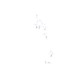 C[C@@H]1CN(c2ncc(C#N)c(N)n2)C[C@H](C)N1CCC1CCN(Cc2ccccc2)CC1